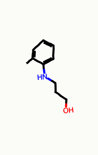 Cc1ccccc1NCCCO